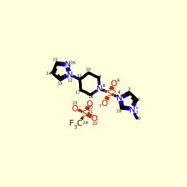 C[n+]1ccn(S(=O)(=O)N2CCC(n3cccn3)CC2)c1.O=S(=O)([O-])C(F)(F)F